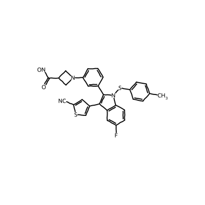 Cc1ccc(Sn2c(-c3cccc(N4CC(C(=O)N=O)C4)c3)c(-c3csc(C#N)c3)c3cc(F)ccc32)cc1